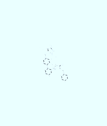 CCCN1N=C(C)C(C(=O)O)=S1Cc1ccc(-c2ccccc2S(=O)(=O)NC(=O)OCc2ccccc2)cc1